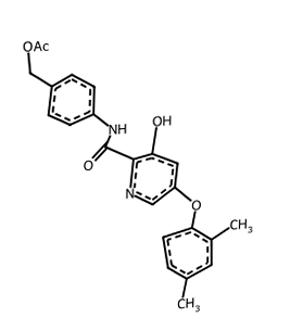 CC(=O)OCc1ccc(NC(=O)c2ncc(Oc3ccc(C)cc3C)cc2O)cc1